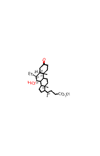 CCOC(=O)CC[C@@H](C)C1CCC2C3C(CC[C@@]21C)[C@@]1(C)CCC(=O)C[C@@H]1[C@H](CC)[C@H]3O